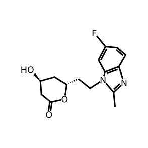 Cc1nc2ccc(F)cc2n1CC[C@H]1C[C@H](O)CC(=O)O1